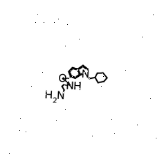 N=S(=O)(CCN)c1ccc2ccn(CC3CCCCC3)c2c1